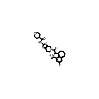 CCc1cc(F)cc2c1=C(C(N)C(=O)N1CCc3nc(NC(=O)C4CCOCC4)sc3C1)CCCC=2